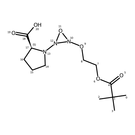 CC(C)(C)C(=O)OCCOn1on1N1CCC[C@H]1C(=O)O